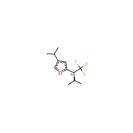 CC(C)c1coc([C@H](C(C)C)C(F)(F)F)c1